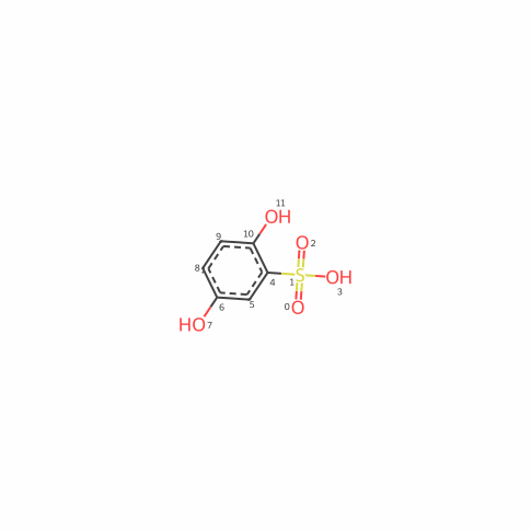 O=S(=O)(O)c1cc(O)[c]cc1O